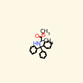 COC(=O)[C@@H](C)NC(c1ccccc1)(c1ccccc1)c1ccccc1